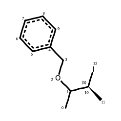 CC(OCc1ccccc1)[C@H](C)I